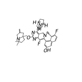 C#Cc1c(F)ccc2cc(O)cc(-c3ncc4c(N5C[C@H]6CC[C@@H](C5)N6)nc(OCC56CCC(C)(C)N5CC(=C)C6)nc4c3F)c12